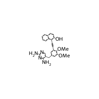 COc1cc(Cc2cnc(N)nc2N)cc(C#Cc2c(O)ccc3ccccc23)c1OC